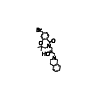 CC1(C)CN(C[C@H](O)CN2CCc3ccccc3C2)C(=O)c2ccc(Br)cc2O1